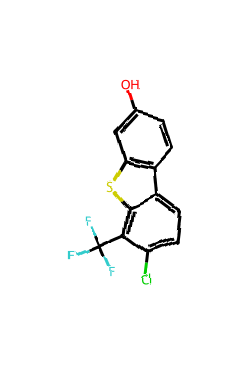 Oc1ccc2c(c1)sc1c(C(F)(F)F)c(Cl)ccc12